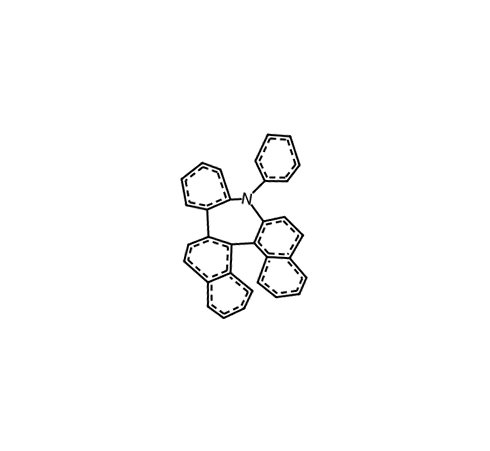 c1ccc(N2c3ccccc3-c3ccc4ccccc4c3-c3c2ccc2ccccc32)cc1